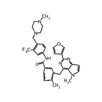 Cc1ccc(C(=O)Nc2ccc(CN3CCN(C)CC3)c(C(F)(F)F)c2)cc1Cc1nc(-c2ccoc2)nc2ccn(C)c12